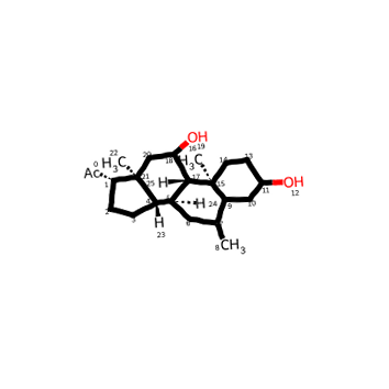 CC(=O)[C@H]1CC[C@H]2[C@@H]3CC(C)C4CC(O)CC[C@]4(C)[C@H]3C(O)C[C@]12C